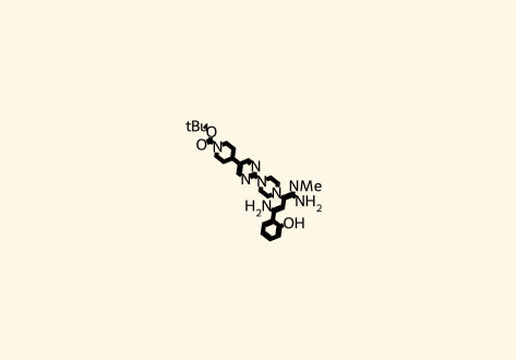 CN/C(N)=C(/C=C(\N)c1ccccc1O)N1CCN(c2ncc(C3CCN(C(=O)OC(C)(C)C)CC3)cn2)CC1